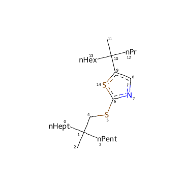 CCCCCCCC(C)(CCCCC)CSc1ncc(C(C)(CCC)CCCCCC)s1